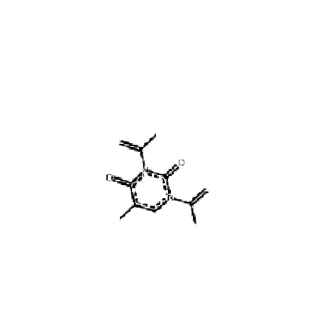 C=C(C)n1cc(C)c(=O)n(C(=C)C)c1=O